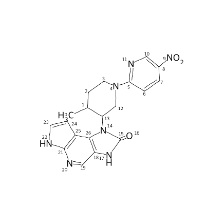 CC1CCN(c2ccc([N+](=O)[O-])cn2)CC1n1c(=O)[nH]c2cnc3[nH]ccc3c21